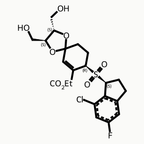 CCOC(=O)C1=CC2(CC[C@H]1S(=O)(=O)[C@H]1CCc3cc(F)cc(Cl)c31)O[C@@H](CO)[C@H](CO)O2